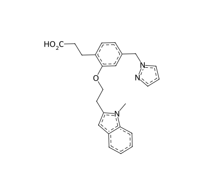 Cn1c(CCOc2cc(Cn3cccn3)ccc2CCC(=O)O)cc2ccccc21